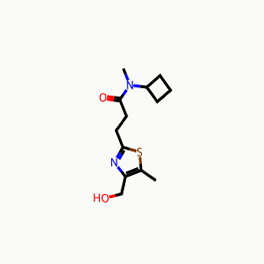 Cc1sc(CCC(=O)N(C)C2CCC2)nc1CO